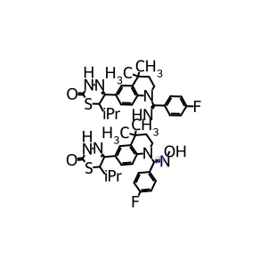 CC(C)C1SC(=O)NN=C1c1ccc2c(c1)C(C)(C)CCN2/C(=N\O)c1ccc(F)cc1.CC(C)C1SC(=O)NN=C1c1ccc2c(c1)C(C)(C)CCN2C(=N)c1ccc(F)cc1